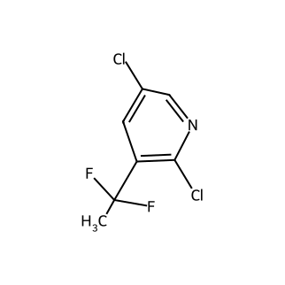 CC(F)(F)c1cc(Cl)cnc1Cl